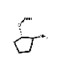 CCCCO[C@H]1CCCC1N